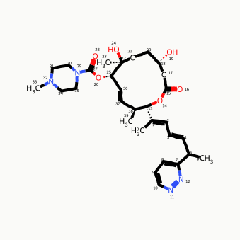 C/C(=C\C=C\C(C)c1cccnn1)[C@H]1OC(=O)C[C@@H](O)CC[C@](C)(O)[C@@H](OC(=O)N2CCN(C)CC2)/C=C/[C@@H]1C